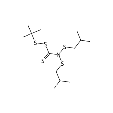 CC(C)CSN(SCC(C)C)C(=S)SSC(C)(C)C